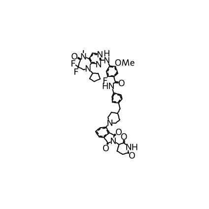 COc1cc(C(=O)Nc2ccc(CC3CCN(c4cccc5c4C(=O)N(C4CCC(=O)NC4=O)C5=O)CC3)cc2)c(F)cc1Nc1ncc2c(n1)N(C1CCCC1)CC(F)(F)C(=O)N2C